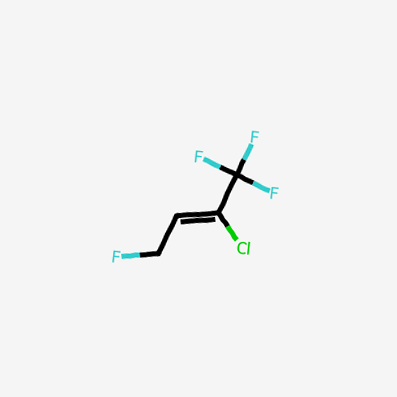 FCC=C(Cl)C(F)(F)F